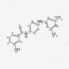 O=C(Nc1ccc(Nc2cc(C(F)(F)F)nc(C(F)(F)F)c2)cc1)c1cccc(O)c1